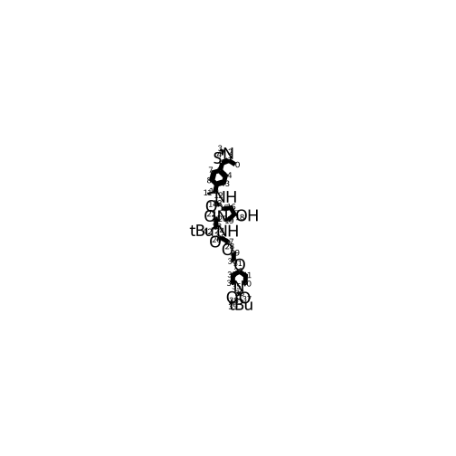 Cc1ncsc1-c1ccc([C@H](C)NC(=O)[C@@H]2C[C@@H](O)CN2C(=O)[C@@H](NC(=O)COCCOC2CCN(C(=O)OC(C)(C)C)CC2)C(C)(C)C)cc1